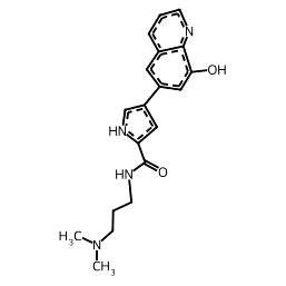 CN(C)CCCNC(=O)c1cc(-c2cc(O)c3ncccc3c2)c[nH]1